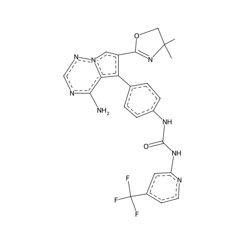 CC1(C)COC(c2cn3ncnc(N)c3c2-c2ccc(NC(=O)Nc3cc(C(F)(F)F)ccn3)cc2)=N1